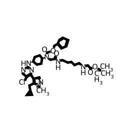 Cn1ncc(-c2nc(N[C@H]3CC[C@H](N(CC(=O)NCCCCCNCC(=O)OC(C)(C)C)C(=O)OCc4ccccc4)CC3)ncc2Cl)c1CC1CC1